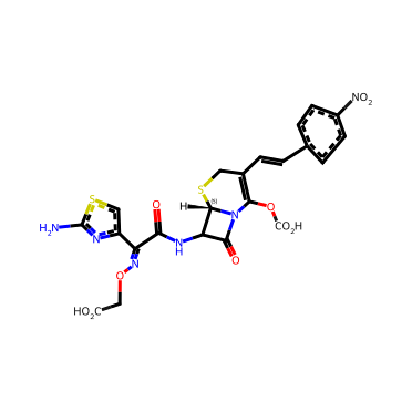 Nc1nc(C(=NOCC(=O)O)C(=O)NC2C(=O)N3C(OC(=O)O)=C(C=Cc4ccc([N+](=O)[O-])cc4)CS[C@@H]23)cs1